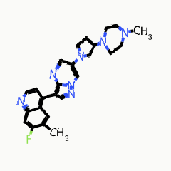 Cc1cc2c(-c3cnn4cc(N5CCC(N6CCN(C)CC6)C5)cnc34)ccnc2cc1F